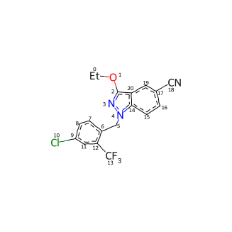 CCOc1nn(Cc2ccc(Cl)cc2C(F)(F)F)c2ccc(C#N)cc12